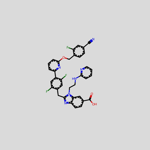 N#Cc1ccc(COc2cccc(-c3cc(F)c(Cc4nc5ccc(C(=O)O)cc5n4CCNc4ccccn4)cc3F)n2)c(F)c1